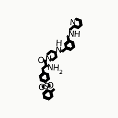 Cc1ccccc1S(=O)(=O)c1ccc(CC(N)C(=O)N2CCC(NCc3cccc(CNCc4ccccn4)c3)CC2)cc1